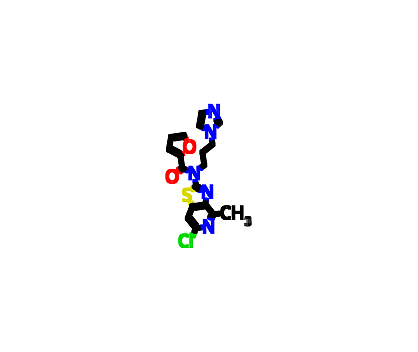 Cc1nc(Cl)cc2sc(N(CCCn3ccnc3)C(=O)c3ccco3)nc12